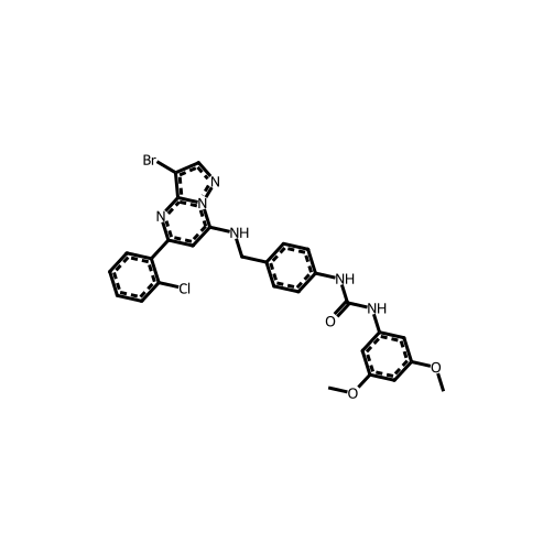 COc1cc(NC(=O)Nc2ccc(CNc3cc(-c4ccccc4Cl)nc4c(Br)cnn34)cc2)cc(OC)c1